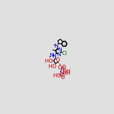 C=NN(c1nc(Cl)nc(N(C)C2CCc3ccccc32)c1C)[C@@H]1O[C@H](COP(=O)(O)CP(=O)(O)O)[C@@H](O)[C@H]1O